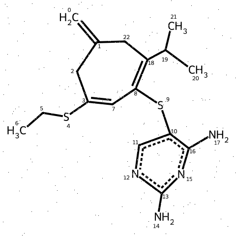 C=C1CC(SCC)=CC(Sc2cnc(N)nc2N)=C(C(C)C)C1